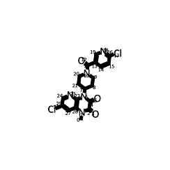 Cn1c(=O)c(=O)n(C2CCN(C(=O)c3ccc(Cl)nc3)CC2)c2ncc(Cl)cc21